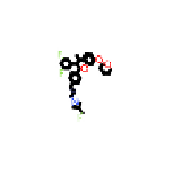 CC1=C(c2cc(F)cc(F)c2)C(c2ccc(/C=C/CN3CC(CF)C3)cc2)Oc2cc(OC3CCCCO3)ccc21